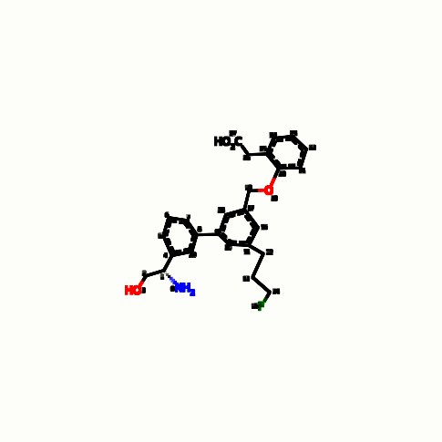 N[C@H](CO)c1cccc(-c2cc(CCCF)cc(COc3ccccc3CC(=O)O)c2)c1